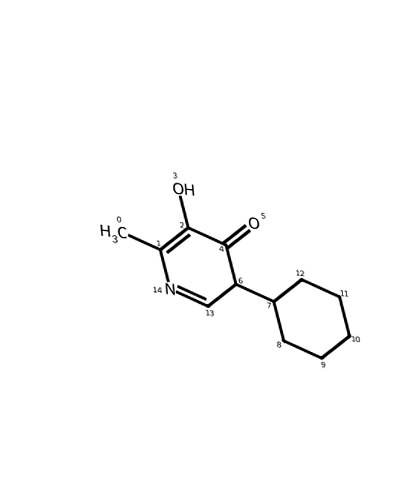 CC1=C(O)C(=O)C(C2CCCCC2)C=N1